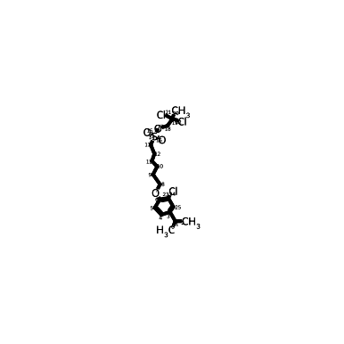 CC(C)c1ccc(OCCCCCCS(=O)(=O)OCC(C)(Cl)Cl)c(Cl)c1